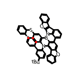 CC(C)(C)c1ccc(N2c3cc4c(cc3B3c5c(cc6oc7ccccc7c6c52)-c2cccc5c6c7ccccc7oc6n3c25)Sc2ccccc2S4)c(-c2ccccc2)c1